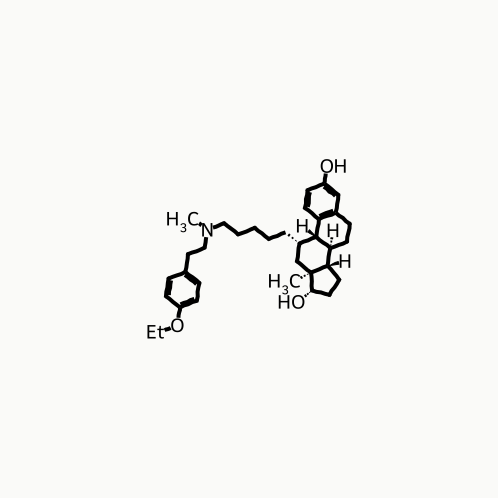 CCOc1ccc(CCN(C)CCCCC[C@H]2C[C@]3(C)[C@@H](O)CC[C@H]3[C@@H]3CCc4cc(O)ccc4[C@@H]23)cc1